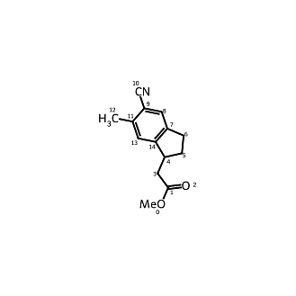 COC(=O)CC1CCc2cc(C#N)c(C)cc21